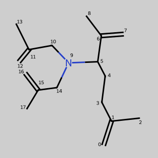 C=C(C)CCC(C(=C)C)N(CC(=C)C)CC(=C)C